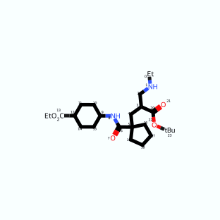 CCNCC(CC1(C(=O)NC2CCC(C(=O)OCC)CC2)CCCC1)C(=O)OC(C)(C)C